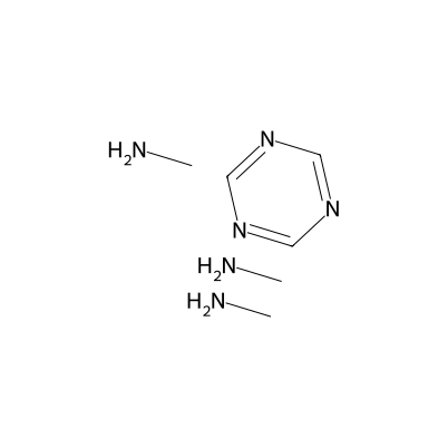 CN.CN.CN.c1ncncn1